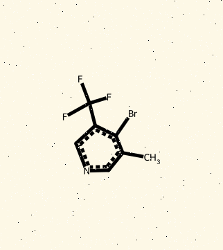 Cc1cncc(C(F)(F)F)c1Br